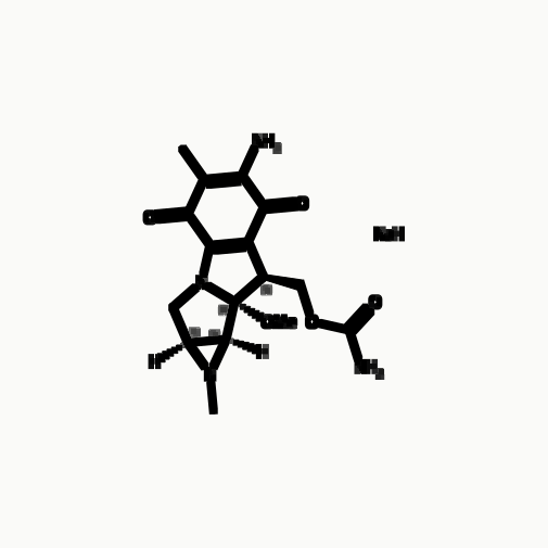 CO[C@@]12[C@H](COC(N)=O)C3=C(C(=O)C(C)=C(N)C3=O)N1C[C@H]1[C@@H]2N1C.[NaH]